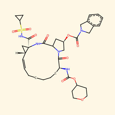 O=C(N[C@H]1CCCCC/C=C\[C@@H]2C[C@@]2(C(=O)NS(=O)(=O)C2CC2)NC(=O)C2C[C@@H](OC(=O)N3Cc4ccccc4C3)CN2C1=O)OC1CCOCC1